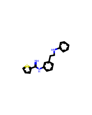 N=C(Nc1cccc(CCNc2ccccc2)c1)c1cccs1